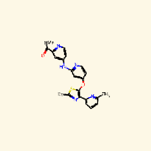 CCc1nc(-c2cccc(C)n2)c(Oc2ccnc(Nc3ccnc(C(=O)NC)c3)c2)s1